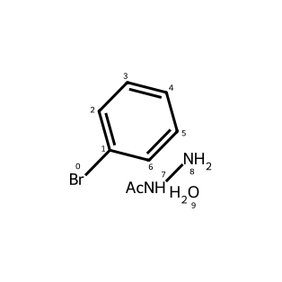 Brc1ccccc1.CC(=O)NN.O